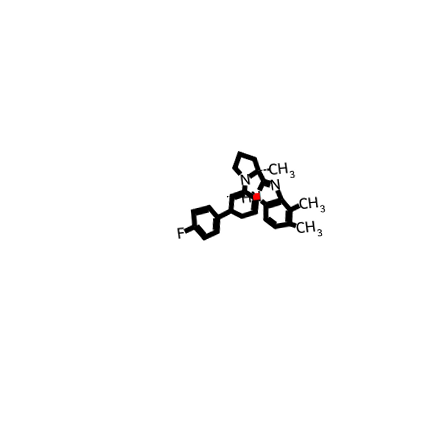 Cc1ccc2[nH]c([C@]3(C)CCCN3C3=[C]C(c4ccc(F)cc4)CC=C3)nc2c1C